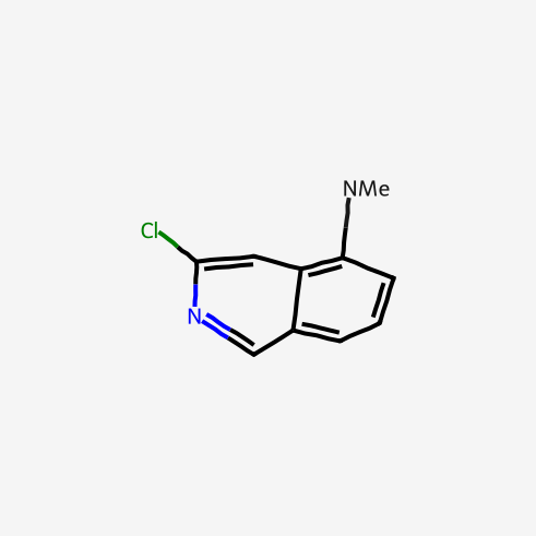 CNc1cccc2cnc(Cl)cc12